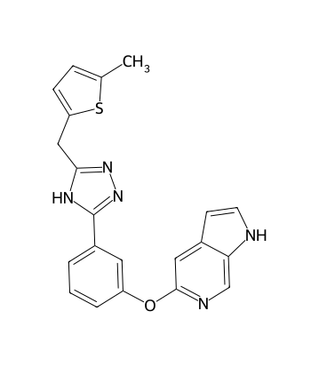 Cc1ccc(Cc2nnc(-c3cccc(Oc4cc5cc[nH]c5cn4)c3)[nH]2)s1